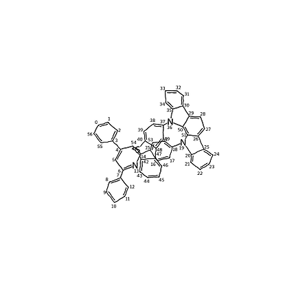 c1ccc(-c2cc(-c3ccccc3)nc(-c3ccc(-n4c5ccccc5c5ccc6c7ccccc7n(-c7ccc8sc9ccccc9c8c7)c6c54)cc3)c2)cc1